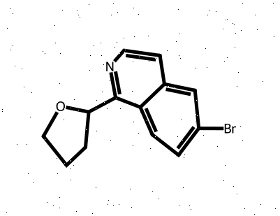 Brc1ccc2c(C3CCCO3)nccc2c1